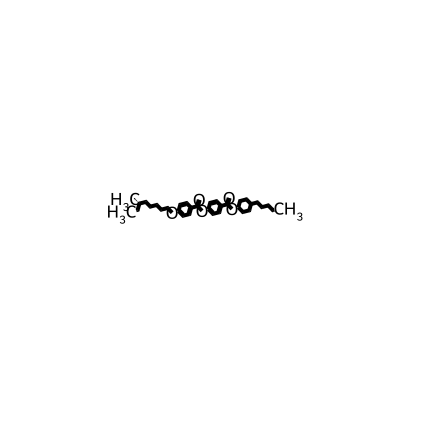 CCCCCC1CCC(OC(=O)c2ccc(OC(=O)c3ccc(OCCCCC[C@@H](C)CC)cc3)cc2)CC1